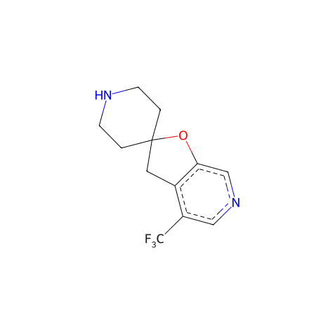 FC(F)(F)c1cncc2c1CC1(CCNCC1)O2